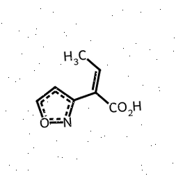 C/C=C(/C(=O)O)c1ccon1